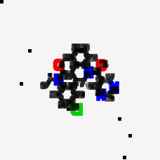 CCN(C(=O)[C@@H]1C[C@@H](C)N(C(=O)c2cncnc2)c2ccccc21)c1ccc(Cl)cc1